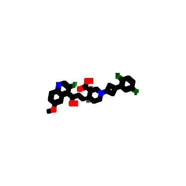 COc1ccc2ncc(F)c(C(O)CC[C@@H]3CCN(C4CC(c5cc(F)ccc5F)C4)C[C@@H]3C(=O)O)c2c1